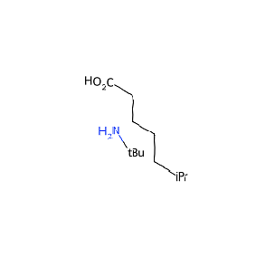 CC(C)(C)N.CC(C)CCCCC(=O)O